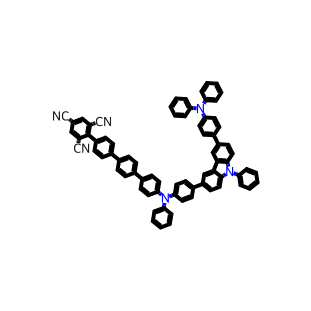 N#Cc1cc(C#N)c(-c2ccc(-c3ccc(-c4ccc(N(c5ccccc5)c5ccc(-c6ccc7c(c6)c6cc(-c8ccc(N(c9ccccc9)c9ccccc9)cc8)ccc6n7-c6ccccc6)cc5)cc4)cc3)cc2)c(C#N)c1